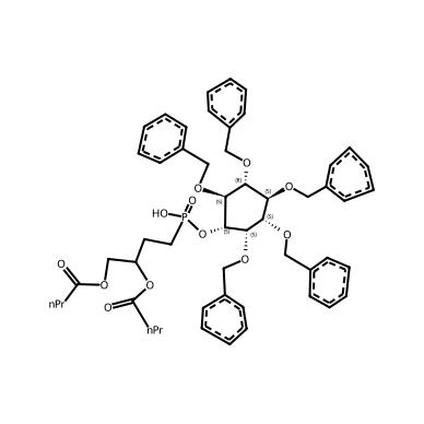 CCCC(=O)OCC(CCP(=O)(O)O[C@@H]1[C@@H](OCc2ccccc2)[C@H](OCc2ccccc2)[C@@H](OCc2ccccc2)[C@H](OCc2ccccc2)[C@@H]1OCc1ccccc1)OC(=O)CCC